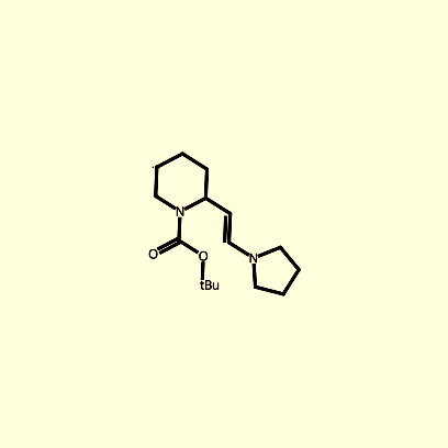 CC(C)(C)OC(=O)N1C[CH]CCC1C=CN1CCCC1